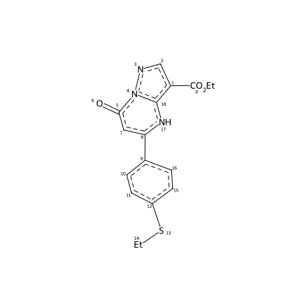 CCOC(=O)c1cnn2c(=O)cc(-c3ccc(SCC)cc3)[nH]c12